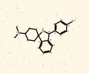 CN(C)C1CCC2(CC1)OC(c1ccc(F)cc1)c1ccccc12